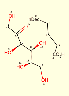 CCCCCCCCCCCCCC(=O)O.O=C(CO)[C@H](O)[C@@H](O)[C@H](O)CO